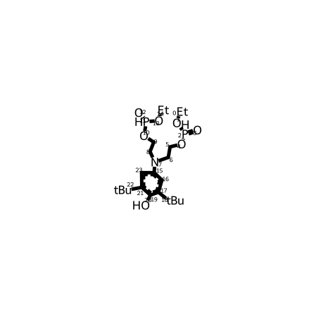 CCO[PH](=O)OCCN(CCO[PH](=O)OCC)c1cc(C(C)(C)C)c(O)c(C(C)(C)C)c1